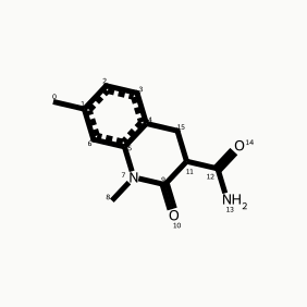 Cc1[c]cc2c(c1)N(C)C(=O)C(C(N)=O)C2